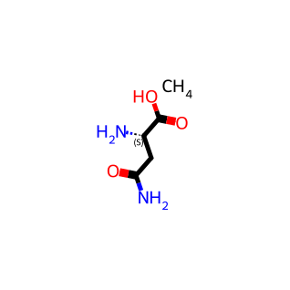 C.NC(=O)C[C@H](N)C(=O)O